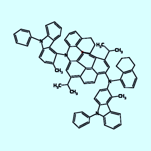 Cc1ccc2c(c1N(c1cccc3c1CCCC3)c1cc(C(C)C)c3ccc4c(N(c5cccc6c5CCCC6)c5ccc6c(c5C)c5ccccc5n6-c5ccccc5)cc(C(C)C)c5ccc1c3c54)c1ccccc1n2-c1ccccc1